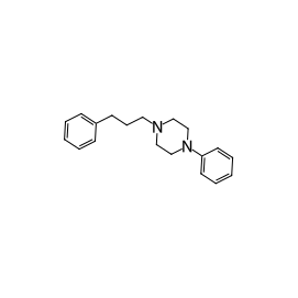 c1ccc(CCCN2CCN(c3ccccc3)CC2)cc1